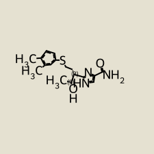 Cc1ccc(SCC[C@H](c2nc(C(N)=O)c[nH]2)[C@H](C)O)cc1C